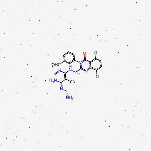 C=N/C(NCc1nc2c(Cl)ccc(Cl)c2c(=O)n1-c1cccc(C=O)c1)=C(C#N)\C(N)=N/CN